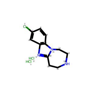 Cl.Cl.Clc1ccc2c(c1)nc1n2CCNCC1